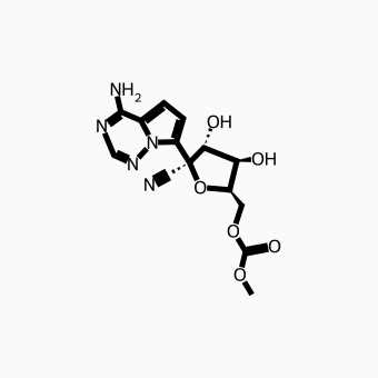 COC(=O)OC[C@H]1O[C@@](C#N)(c2ccc3c(N)ncnn23)[C@H](O)[C@H]1O